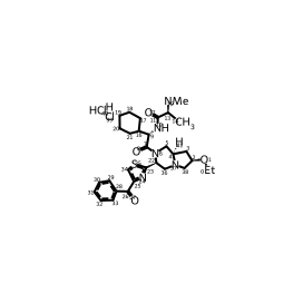 CCO[C@@H]1C[C@@H]2CN(C(=O)[C@@H](NC(=O)[C@H](C)NC)C3CCCCC3)[C@H](c3nc(C(=O)c4ccccc4)cs3)CN2C1.Cl.Cl